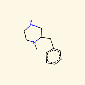 CN1CCNCC1Cc1[c]cccc1